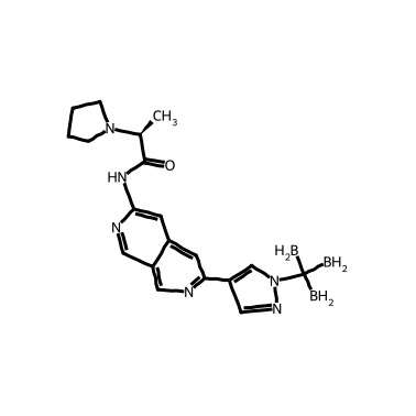 BC(B)(B)n1cc(-c2cc3cc(NC(=O)[C@H](C)N4CCCC4)ncc3cn2)cn1